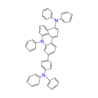 c1ccc(N(c2ccccc2)c2ccc(-c3ccc4c(c3)N(c3ccccc3)c3cccc5c(N(c6ccccc6)c6ccccc6)ccc-4c35)cc2)cc1